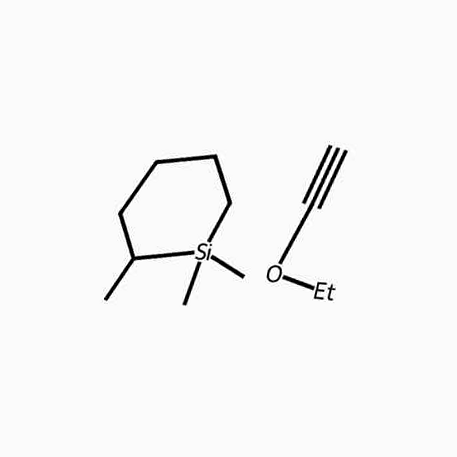 C#COCC.CC1CCCC[Si]1(C)C